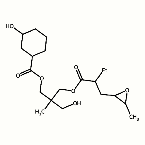 CCC(CC1OC1C)C(=O)OCC(C)(CO)COC(=O)C1CCCC(O)C1